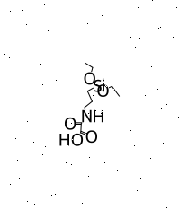 CCO[Si](C)(CCCNC(=O)C(=O)O)OCC